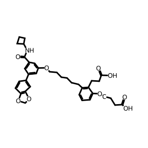 O=C(O)CCCOc1cccc(CCCCCCOc2cc(C(=O)NC3CCC3)cc(-c3ccc4c(c3)OCO4)c2)c1CCC(=O)O